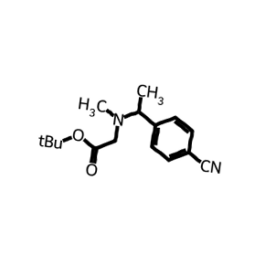 CC(c1ccc(C#N)cc1)N(C)CC(=O)OC(C)(C)C